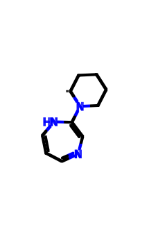 [CH]1CCCCN1C1=CN=CC=CN1